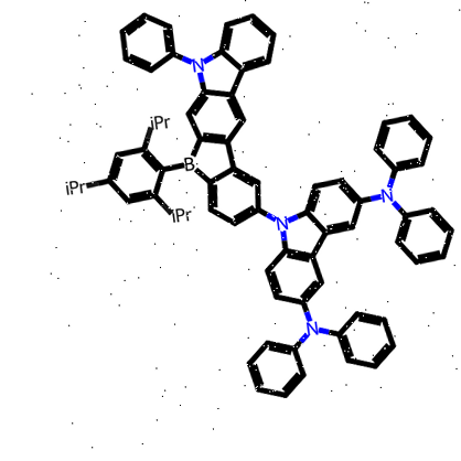 CC(C)c1cc(C(C)C)c(B2c3ccc(-n4c5ccc(N(c6ccccc6)c6ccccc6)cc5c5cc(N(c6ccccc6)c6ccccc6)ccc54)cc3-c3cc4c5ccccc5n(-c5ccccc5)c4cc32)c(C(C)C)c1